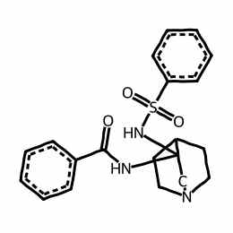 O=C(NC1(NS(=O)(=O)c2ccccc2)CN2CCC1CC2)c1ccccc1